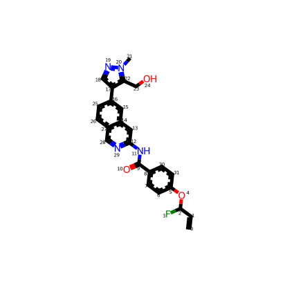 C=CC(F)Oc1ccc(C(=O)Nc2cc3cc(-c4cnn(C)c4CO)ccc3cn2)cc1